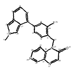 Cn1cc2cccc(-c3ccc(Cn4c(=O)cnc5cnccc54)c(F)c3)c2c1